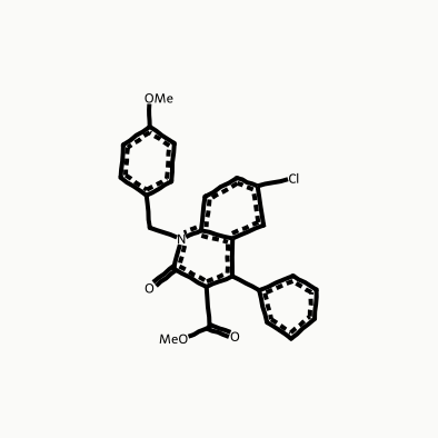 COC(=O)c1c(-c2ccccc2)c2cc(Cl)ccc2n(Cc2ccc(OC)cc2)c1=O